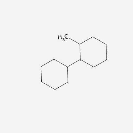 CC1CCCC[C]1C1CCCCC1